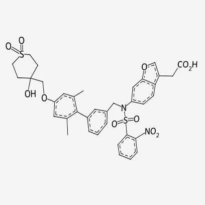 Cc1cc(OCC2(O)CCS(=O)(=O)CC2)cc(C)c1-c1cccc(CN(c2ccc3c(CC(=O)O)coc3c2)S(=O)(=O)c2ccccc2[N+](=O)[O-])c1